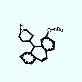 CCCCOc1ccc2c(c1)C(C1CCNCC1)c1ccccc1C=C2